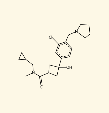 CN(CC1CC1)C(=O)C1CC(O)(c2ccc(CN3CCCC3)c(Cl)c2)C1